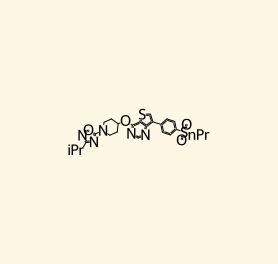 CCCS(=O)(=O)c1ccc(-c2csc3c(OC4CCN(c5nc(C(C)C)no5)CC4)ncnc23)cc1